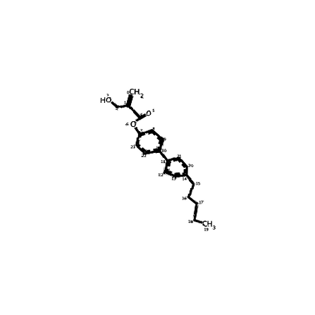 C=C(CO)C(=O)Oc1ccc(-c2ccc(CCCCC)cc2)cc1